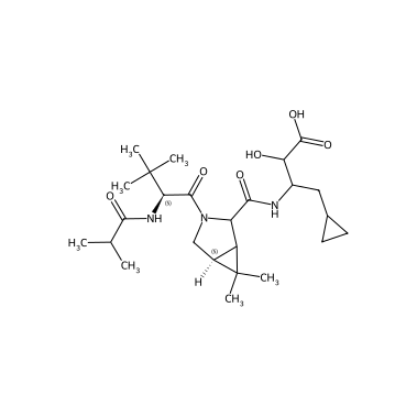 CC(C)C(=O)N[C@H](C(=O)N1C[C@H]2C(C1C(=O)NC(CC1CC1)C(O)C(=O)O)C2(C)C)C(C)(C)C